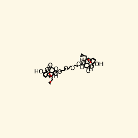 O=C(OCCOCCOCCOC(=O)O[C@@]12CCC(=O)[C@@H]3Oc4c(O)ccc5c4[C@@]31CCN(CC1CC1)[C@@H]2C5)O[C@@]12CCC(=O)[C@@H]3Oc4c(O)ccc5c4[C@@]31CCN(CC1CC1)[C@@H]2C5